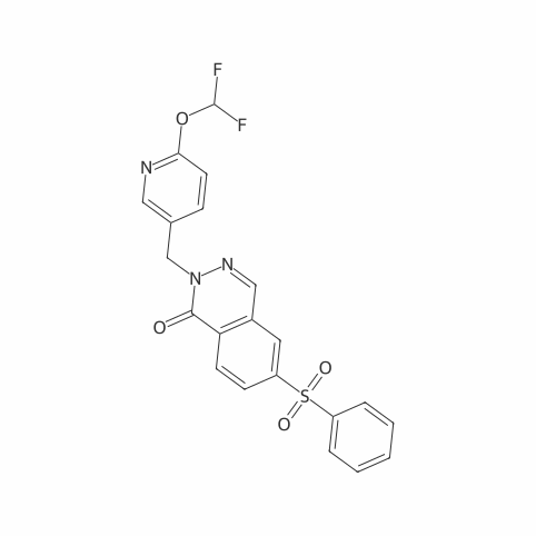 O=c1c2ccc(S(=O)(=O)c3ccccc3)cc2cnn1Cc1ccc(OC(F)F)nc1